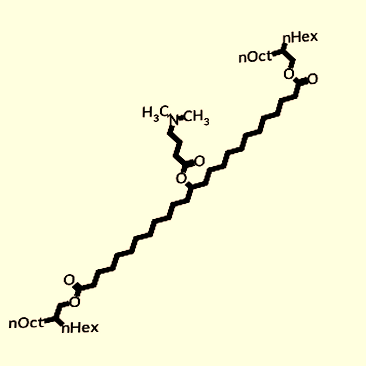 CCCCCCCCC(CCCCCC)COC(=O)CCCCCCCCCCCC(CCCCCCCCCCCC(=O)OCC(CCCCCC)CCCCCCCC)OC(=O)CCCN(C)C